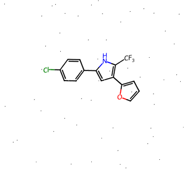 FC(F)(F)c1[nH]c(-c2ccc(Cl)cc2)cc1-c1ccco1